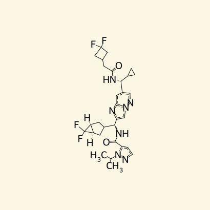 CC(C)n1nccc1C(=O)N[C@H](c1cn2ncc([C@H](NC(=O)CC3CC(F)(F)C3)C3CC3)cc2n1)C1C[C@@H]2[C@H](C1)C2(F)F